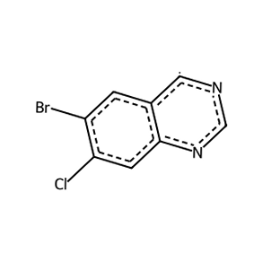 Clc1cc2ncn[c]c2cc1Br